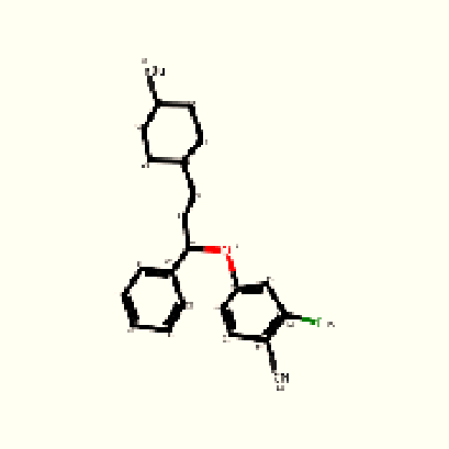 CCCCC1CCC(CCC(Oc2ccc(C#N)c(F)c2)c2ccccc2)CC1